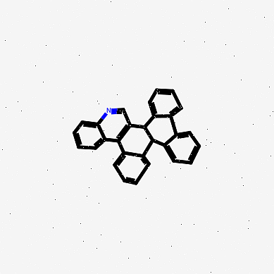 c1ccc2c(c1)-c1ccccc1C1c3cnc4ccccc4c3-c3ccccc3C21